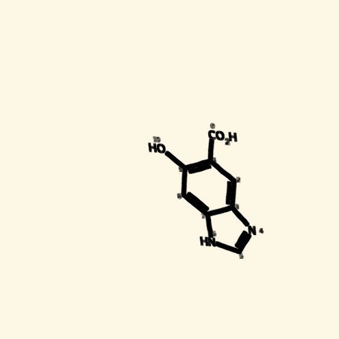 O=C(O)c1cc2nc[nH]c2cc1O